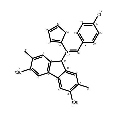 Cc1cc2c(cc1C(C)(C)C)-c1cc(C(C)(C)C)c(C)cc1[CH]2[Zr](=[CH]c1ccc(Cl)cc1)[C]1=CC=CC1